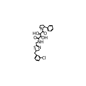 O=C(NCC1=NCC(Cc2cccc(Cl)c2)S1)[C@H](O)[C@@H](O)C(=O)N1CCCC1c1ccccc1